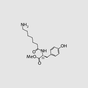 COC(=O)[C@H](Cc1ccc(O)cc1)NC(=O)CCCCCCN